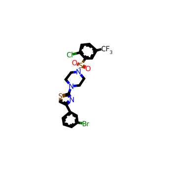 O=S(=O)(c1cc(C(F)(F)F)ccc1Cl)N1CCN(c2nc(-c3cccc(Br)c3)cs2)CC1